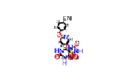 N#Cc1ccc(Oc2ccc(N3C(=O)NS(=O)(=O)C34C(=O)NC(=O)NC4=O)cn2)cc1